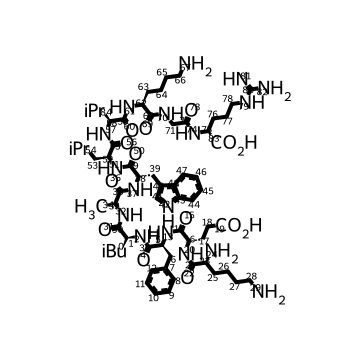 CC[C@H](C)[C@H](NC(=O)[C@H](Cc1ccccc1)NC(=O)[C@H](CCC(=O)O)NC(=O)[C@@H](N)CCCCN)C(=O)N[C@@H](C)C(=O)N[C@@H](Cc1c[nH]c2ccccc12)C(=O)N[C@@H](CC(C)C)C(=O)N[C@H](C(=O)N[C@@H](CCCCN)C(=O)NCC(=O)N[C@@H](CCCNC(=N)N)C(=O)O)C(C)C